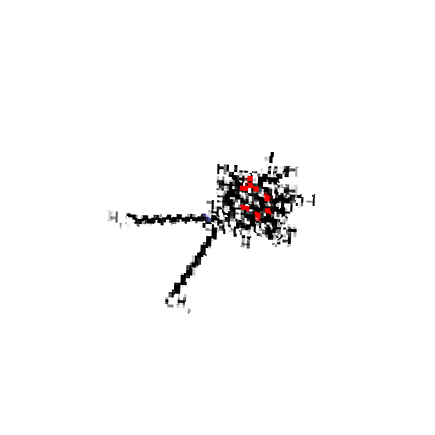 CCCCCCCCCCCCC/C=C/[C@@H](O)[C@H](CO[C@@H]1OC(CO)[C@@H](O[C@@H]2OC(CO)[C@H](O)[C@H](O[C@H]3OC(CO)[C@H](O)[C@H](O[C@@H]4OC(CO)[C@H](O)[C@H](O[C@@H]5OC(CO)[C@H](O)[C@H](O[C@H]6OC(CO)[C@H](O)[C@H](O)C6O)C5O[C@H]5OC(C)[C@@H](O)C(O)[C@@H]5O)C4NC(C)=O)C3O)C2O)[C@H](O)C1O)NC(=O)CCCCCCCCCCCCCCC